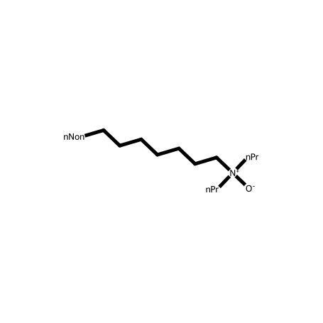 CCCCCCCCCCCCCCCC[N+]([O-])(CCC)CCC